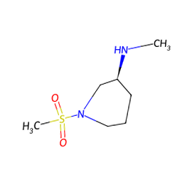 CN[C@H]1CCCN(S(C)(=O)=O)C1